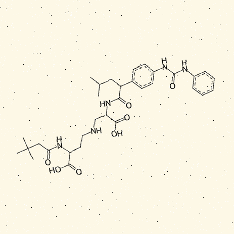 CC(C)CC(C(=O)NC(CNCCC(NC(=O)CC(C)(C)C)C(=O)O)C(=O)O)c1ccc(NC(=O)Nc2ccccc2)cc1